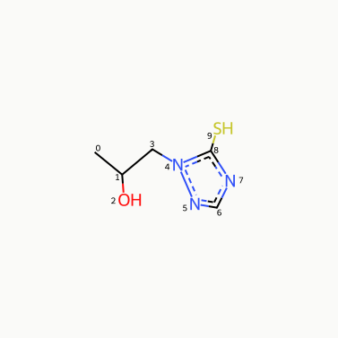 CC(O)Cn1ncnc1S